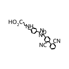 N#Cc1ccccc1-c1ccc(-c2nc(-c3ccc(CNCCC(=O)O)cc3)no2)cc1C#N